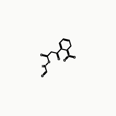 O=CNOC(=O)CC(=O)C1=CC=CCC1=S(=O)=O